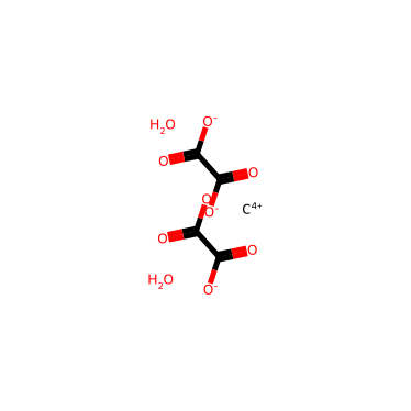 O.O.O=C([O-])C(=O)[O-].O=C([O-])C(=O)[O-].[C+4]